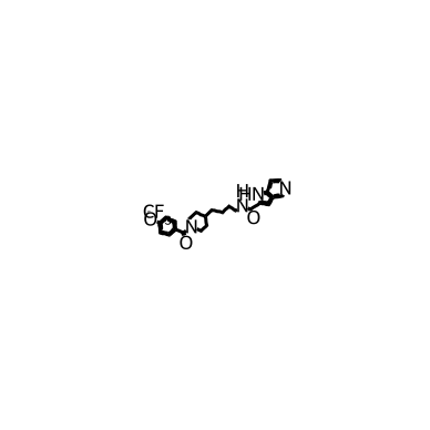 O=C(NCCCCC1CCN(C(=O)c2ccc(OC(F)(F)F)cc2)CC1)c1cc2cnccc2[nH]1